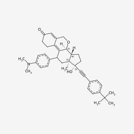 CN(C)c1ccc(C2C[C@@]3(C)[C@@H](CC[C@@]3(O)C#Cc3ccc(C(C)(C)C)cc3)[C@@H]3OCC4=CC(=O)CCC4=C23)cc1